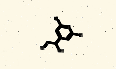 OC(CBr)c1cc(Cl)nc(Cl)c1